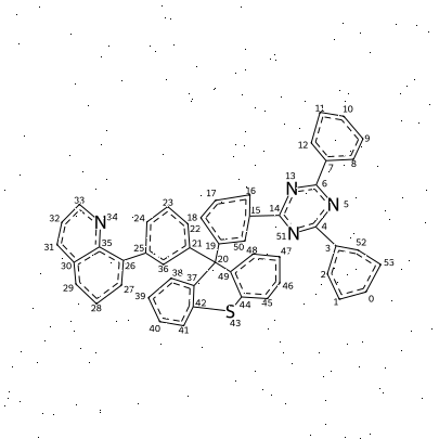 c1ccc(-c2nc(-c3ccccc3)nc(-c3cccc(C4(c5cccc(-c6cccc7cccnc67)c5)c5ccccc5Sc5ccccc54)c3)n2)cc1